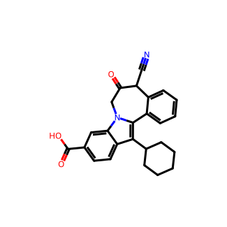 N#CC1C(=O)Cn2c(c(C3CCCCC3)c3ccc(C(=O)O)cc32)-c2ccccc21